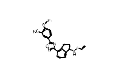 C=CSNC1CCc2c(-c3noc(-c4ccc(OC(C)C)c(C#N)c4)n3)cccc21